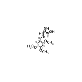 COc1cc(OC)c(OC)cc1/C=N/NC(=N)NO